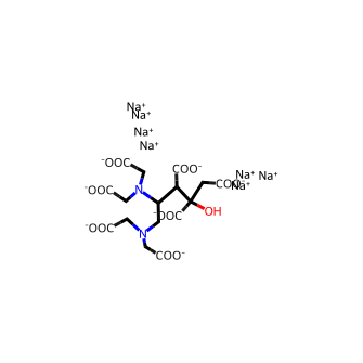 O=C([O-])CN(CC(=O)[O-])CC(C(C(=O)[O-])C(O)(CC(=O)[O-])C(=O)[O-])N(CC(=O)[O-])CC(=O)[O-].[Na+].[Na+].[Na+].[Na+].[Na+].[Na+].[Na+]